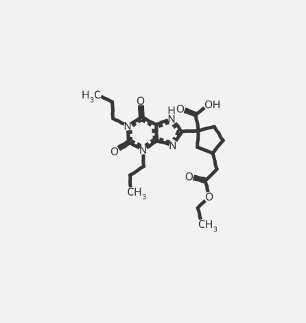 CCCn1c(=O)c2[nH]c(C3(C(=O)O)CCC(CC(=O)OCC)C3)nc2n(CCC)c1=O